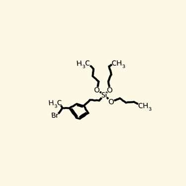 CCCCO[Si](CCc1cccc(C(C)Br)c1)(OCCCC)OCCCC